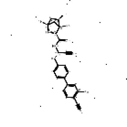 N#Cc1ccc(-c2ccc(C[C@@H](C#N)NC(=O)[C@H]3N[C@H]4C[C@@H]3[C@H](F)C4)cc2)cc1F